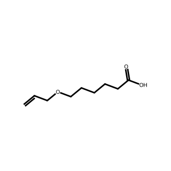 C=CCOCCCCCC(=O)O